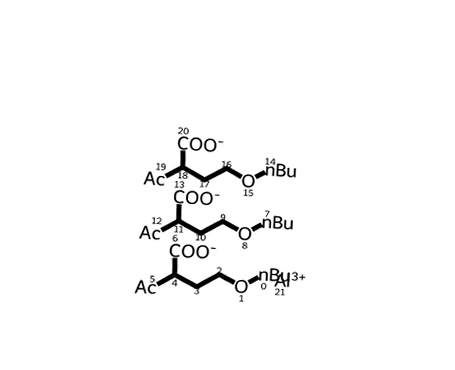 CCCCOCCC(C(C)=O)C(=O)[O-].CCCCOCCC(C(C)=O)C(=O)[O-].CCCCOCCC(C(C)=O)C(=O)[O-].[Al+3]